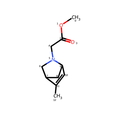 COC(=O)CN1CC2CC1C=C2C